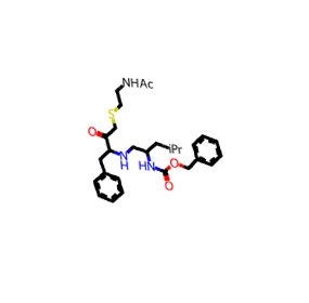 CC(=O)NCCSCC(=O)C(Cc1ccccc1)NCC(CC(C)C)NC(=O)OCc1ccccc1